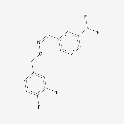 Fc1ccc(CO/N=[C]\c2cccc(C(F)F)c2)cc1F